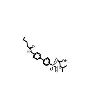 CCCCC(=O)Nc1ccc(-c2ccc(S(=O)(=O)N[C@H](C(=O)O)C(C)C)cc2)cc1